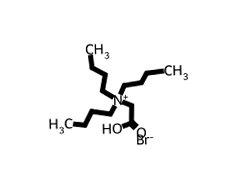 CCCC[N+](CCCC)(CCCC)CC(=O)O.[Br-]